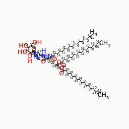 CCCCCCCCCCCCCCCCC(=O)N[C@H](CSC[C@@H](COC(=O)CCCCCCCCCCCCCCCC)OC(=O)CCCCCCCCCCCCCCCC)C(=O)Nc1cn([C@H]2OC(CO)C(O)C(O)C2O)nn1